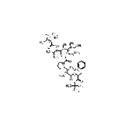 CC[C@H](C)[C@@H]([C@@H](CC(=O)N1CCC[C@H]1[C@H](OC)[C@@H](C)C(=O)N[C@@H](Cc1ccccc1)C(=O)OC(C)(C)C)OC)N(C)C(=O)[C@@H](NC(=O)[C@@H](NC)C(C)C)C(C)C